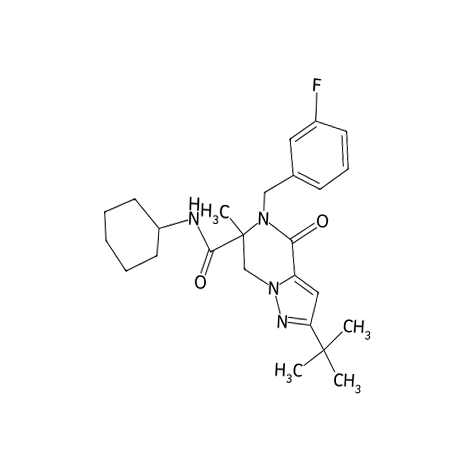 CC(C)(C)c1cc2n(n1)CC(C)(C(=O)NC1CCCCC1)N(Cc1cccc(F)c1)C2=O